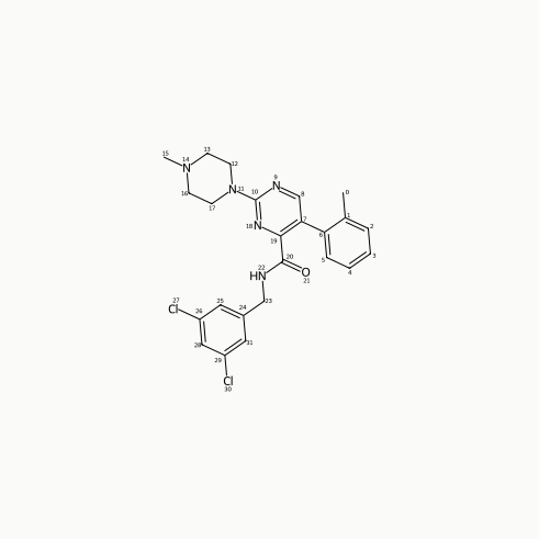 Cc1ccccc1-c1cnc(N2CCN(C)CC2)nc1C(=O)NCc1cc(Cl)cc(Cl)c1